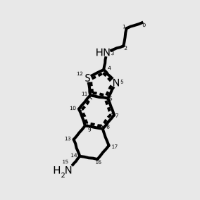 CCCNc1nc2cc3c(cc2s1)CC(N)CC3